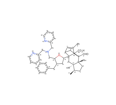 CC(C)C1=CC2CC3(C=O)[C@@H]4CC[C@@H](C)[C@H]4CC2(C2CC(Cc4ccccc4)C(CN(Cc4ccccn4)Cc4ccccn4)O2)C13C(=O)O